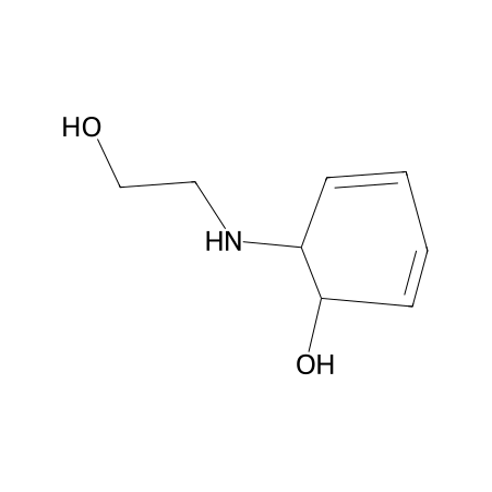 OCCNC1C=CC=CC1O